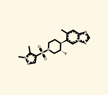 Cc1cc2ncnn2cc1[C@@H]1CCN(S(=O)(=O)c2cnn(C)c2C)C[C@H]1F